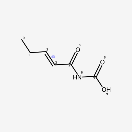 CC/C=C/C(=O)NC(=O)O